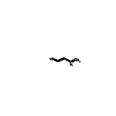 CPCCS